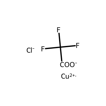 O=C([O-])C(F)(F)F.[Cl-].[Cu+2]